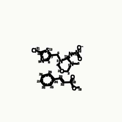 CN1COCN(Cc2cnc(Cl)s2)/C1=N/[N+](=O)[O-].COC(=O)/C=C/c1ccccc1